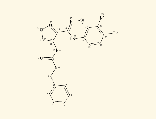 O=C(NCc1ccccc1)Nc1nonc1/C(=N/O)Nc1ccc(F)c(Br)c1